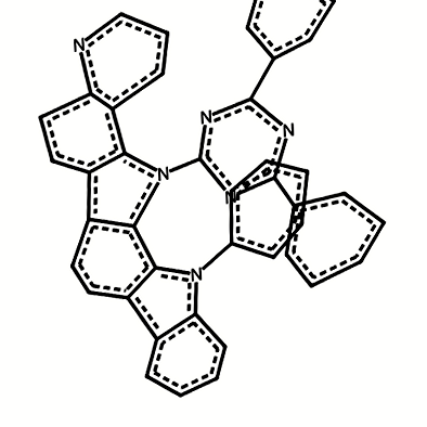 c1ccc(-c2nc(-c3ccccc3)nc(-n3c4c5cccnc5ccc4c4ccc5c6ccccc6n(-c6ccccc6)c5c43)n2)cc1